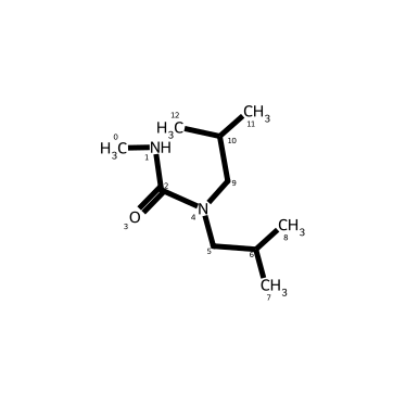 CNC(=O)N(CC(C)C)CC(C)C